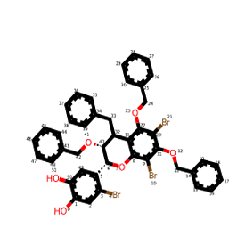 Oc1cc(Br)c([C@H]2Oc3c(Br)c(OCc4ccccc4)c(Br)c(OCc4ccccc4)c3C(Cc3ccccc3)[C@H]2OCc2ccccc2)cc1O